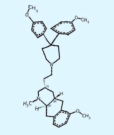 COc1ccc(C2(c3ccc(OC)cc3)CCN(CC[C@@H]3C[C@@H]4Cc5c(cccc5OC)C[C@H]4N(C)C3)CC2)cc1